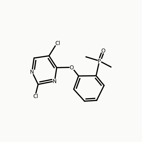 CP(C)(=O)c1ccccc1Oc1nc(Cl)ncc1Cl